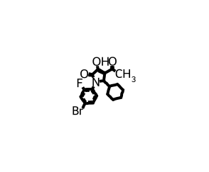 CC(=O)C1=C(O)C(=O)N(c2ccc(Br)cc2F)C1C1CCCCC1